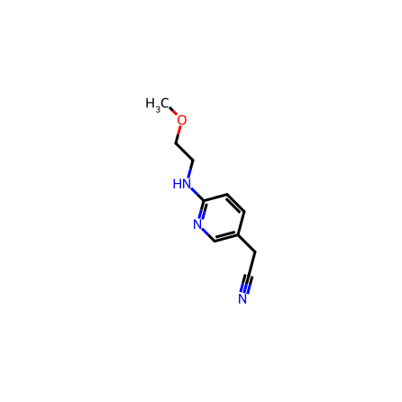 COCCNc1ccc(CC#N)cn1